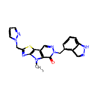 Cn1c2nc(Cn3cccn3)sc2c2cnn(Cc3cccc4[nH]ncc34)c(=O)c21